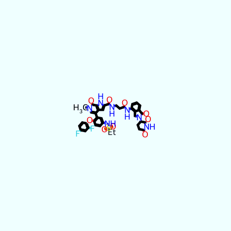 CCS(=O)(=O)Nc1ccc(Oc2ccc(F)cc2F)c(-c2cn(C)c(=O)c3[nH]c(C(=O)NCCC(=O)Nc4cccc5c4CN(C4CCC(=O)NC4=O)C5=O)cc23)c1